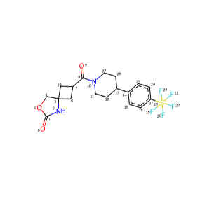 O=C1NC2(CO1)CC(C(=O)N1CCC(c3ccc(S(F)(F)(F)(F)F)cc3)CC1)C2